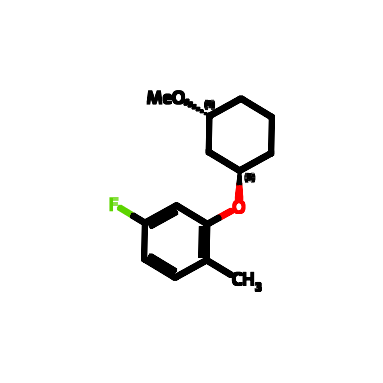 CO[C@@H]1CCC[C@@H](Oc2cc(F)ccc2C)C1